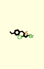 CCc1ccc(Cc2sc(Br)cc2Cl)cc1